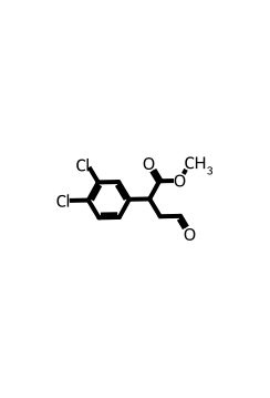 COC(=O)C(CC=O)c1ccc(Cl)c(Cl)c1